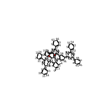 Cc1cc(C)c2c(c1)N(c1nc(-c3ccccc3)nc(-c3ccccc3)n1)c1cc(C)cc(C)c1N2c1ccc(-c2nc(-c3ccccc3)nc(-c3ccccc3)n2)cc1-c1nc(-c2ccccc2)nc(-c2ccccc2)n1